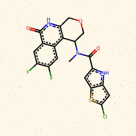 CN(C(=O)c1cc2sc(Cl)cc2[nH]1)C1COCc2[nH]c(=O)c3cc(F)c(F)cc3c21